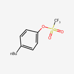 CCCCc1ccc(OS(=O)(=O)C(F)(F)F)cc1